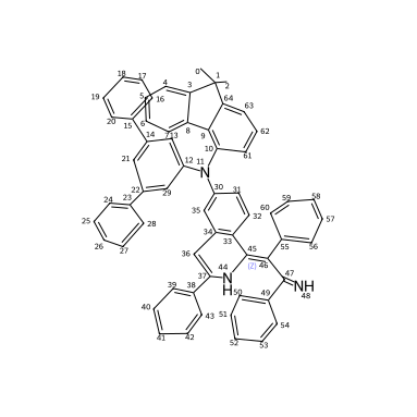 CC1(C)c2ccccc2-c2c(N(c3cc(-c4ccccc4)cc(-c4ccccc4)c3)c3ccc4c(c3)C=C(c3ccccc3)N/C4=C(\C(=N)c3ccccc3)c3ccccc3)cccc21